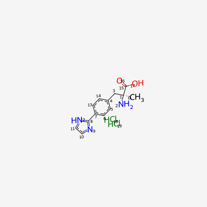 C[C@](N)(Cc1ccc(-c2ncc[nH]2)cc1)C(=O)O.Cl.Cl